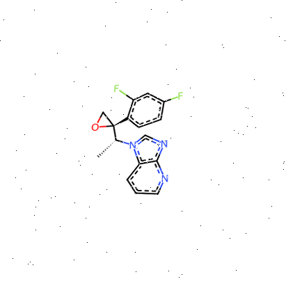 C[C@@H](n1cnc2ncccc21)[C@@]1(c2ccc(F)cc2F)CO1